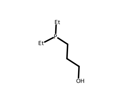 CCP(CC)CCCO